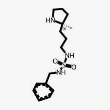 C[C@@]1(CCCNS(=O)(=O)NCc2ccccc2)CCCN1